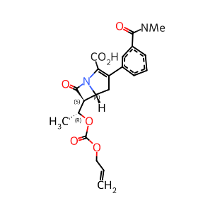 C=CCOC(=O)O[C@H](C)[C@H]1C(=O)N2C(C(=O)O)=C(c3cccc(C(=O)NC)c3)C[C@H]12